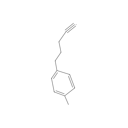 [C]#CCCCc1ccc(C)cc1